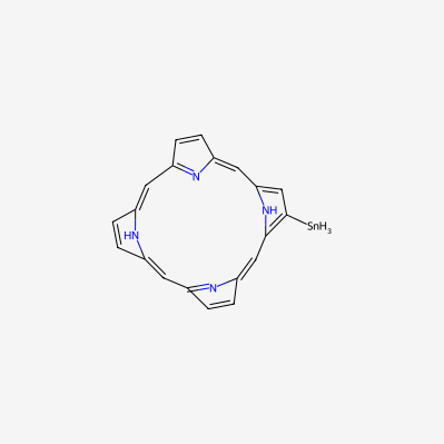 [SnH3][c]1cc2cc3nc(cc4ccc(cc5nc(cc1[nH]2)C=C5)[nH]4)C=C3